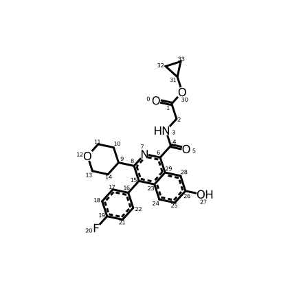 O=C(CNC(=O)c1nc(C2CCOCC2)c(-c2ccc(F)cc2)c2ccc(O)cc12)OC1CC1